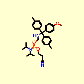 COc1ccc(C(NCOP(OCCC#N)N(C(C)C)C(C)C)(c2ccc(C)cc2)c2ccc(C)cc2)cc1